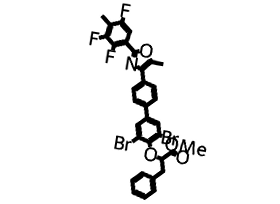 COC(=O)C(Cc1ccccc1)Oc1c(Br)cc(-c2ccc(-c3nc(-c4cc(F)c(C)c(F)c4F)oc3C)cc2)cc1Br